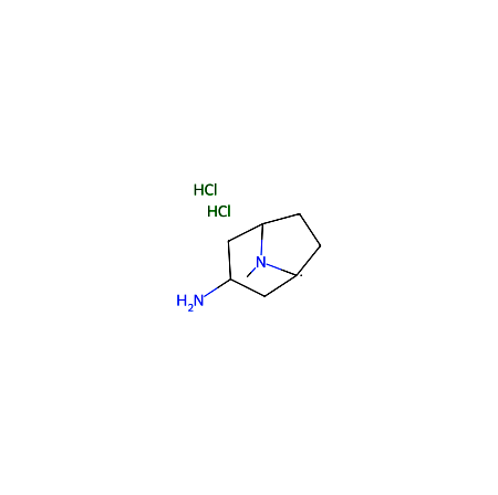 CN1[C]2CCC1CC(N)C2.Cl.Cl